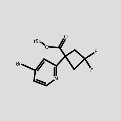 CC(C)(C)OC(=O)C1(c2cc(Br)ccn2)CC(F)(F)C1